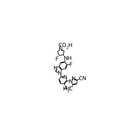 CC(=O)c1ccc(-n2cnc3cc(N[C@H]4CN(C(=O)O)C[C@H]4F)c(F)cc32)nc1-n1nc(C#N)cc1C